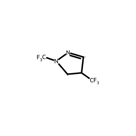 FC(F)(F)C1[C]=NN(C(F)(F)F)[CH]1